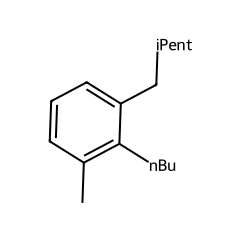 CCCCc1c(C)cccc1CC(C)CCC